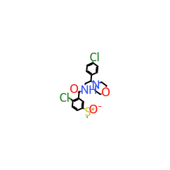 C[S+]([O-])c1ccc(Cl)c(C(=O)NCC(c2ccc(Cl)cc2)N2CCOCC2)c1